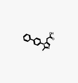 Cc1ncc(CC(=O)O)n1-c1ccc(-c2ccccc2)cc1